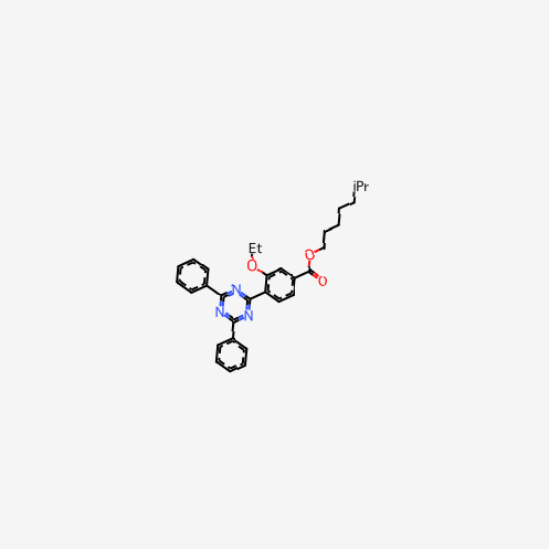 CCOc1cc(C(=O)OCCCCCC(C)C)ccc1-c1nc(-c2ccccc2)nc(-c2ccccc2)n1